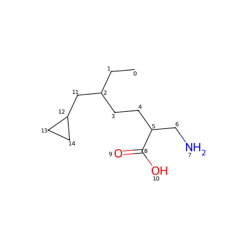 CCC(CCC(CN)C(=O)O)CC1CC1